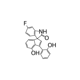 O=C1Nc2cc(F)ccc2C12C=C(c1ccccc1O)c1c(O)cccc12